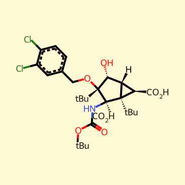 CC(C)(C)OC(=O)N[C@]1(C(=O)O)[C@@]2(C(C)(C)C)[C@@H]([C@H]2C(=O)O)[C@@H](O)[C@]1(OCc1ccc(Cl)c(Cl)c1)C(C)(C)C